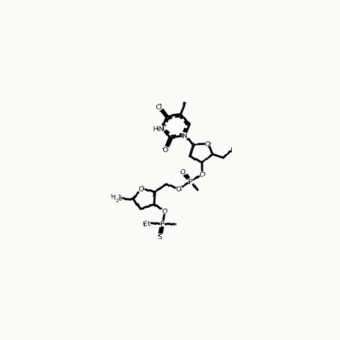 BC1CC(OP(C)(=S)CC)C(COP(C)(=O)OC2CC(n3cc(C)c(=O)[nH]c3=O)OC2CI)O1